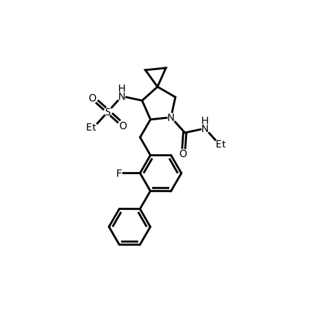 CCNC(=O)N1CC2(CC2)C(NS(=O)(=O)CC)C1Cc1cccc(-c2ccccc2)c1F